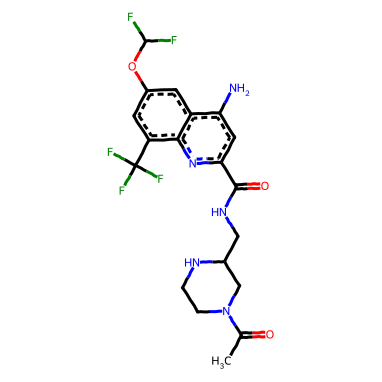 CC(=O)N1CCNC(CNC(=O)c2cc(N)c3cc(OC(F)F)cc(C(F)(F)F)c3n2)C1